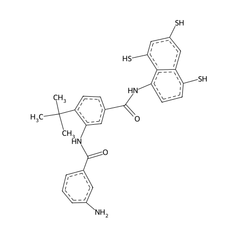 CC(C)(C)c1ccc(C(=O)Nc2ccc(S)c3cc(S)cc(S)c23)cc1NC(=O)c1cccc(N)c1